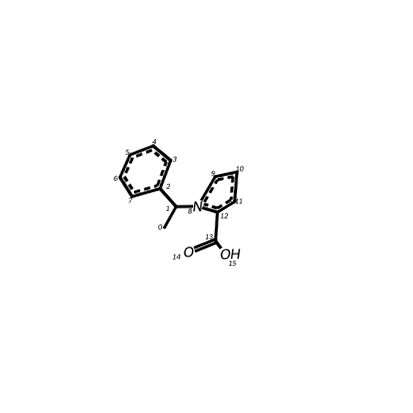 CC(c1ccccc1)n1cccc1C(=O)O